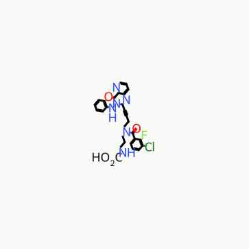 O=C(O)NCCCN(CCC#Cc1nc2cccnc2c(=O)n1Nc1ccccc1)C(=O)c1cccc(Cl)c1F